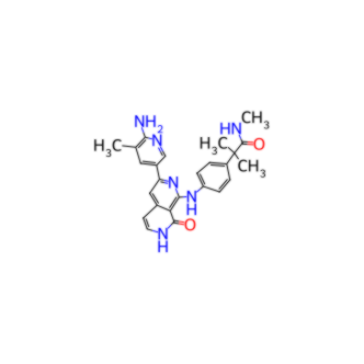 CNC(=O)C(C)(C)c1ccc(Nc2nc(-c3cnc(N)c(C)c3)cc3cc[nH]c(=O)c23)cc1